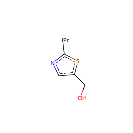 CC(C)c1ncc(CO)s1